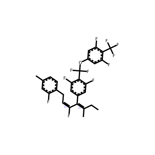 CC/C(C)=C(/C(F)=C\Cc1ccc(C)cc1F)c1cc(F)c(C(F)(F)Oc2cc(F)c(C(F)(F)F)c(F)c2)c(F)c1